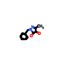 CC1=NN(Cc2ccccc2)C(=O)C1=O